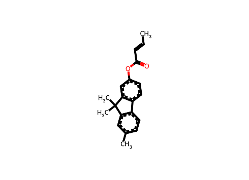 CC=CC(=O)Oc1ccc2c(c1)C(C)(C)c1cc(C)ccc1-2